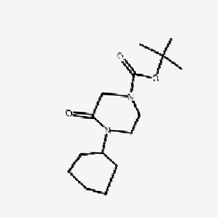 CC(C)(C)OC(=O)N1CCN(C2CCCCC2)C(=O)C1